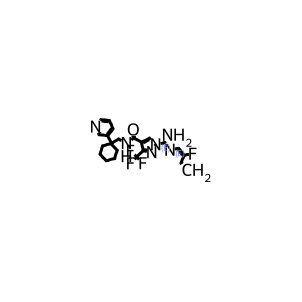 C=C/C(F)=C\N=C(/N)n1cc(C(=O)NCC2(c3cccnc3)CCCCC2)c(C(F)(F)F)n1